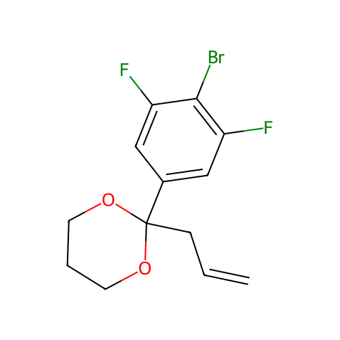 C=CCC1(c2cc(F)c(Br)c(F)c2)OCCCO1